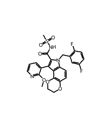 COc1ncccc1-c1c(C(=O)NS(C)(=O)=O)n(Cc2cc(F)ccc2F)c2ccc3c(c12)OCCO3